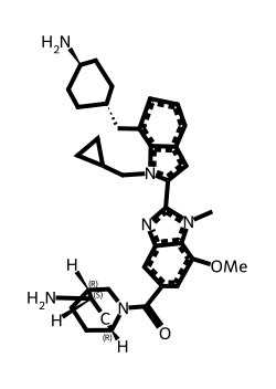 COc1cc(C(=O)N2C[C@H]3CC[C@@H]2C[C@@H]3N)cc2nc(-c3cc4cccc(C[C@H]5CC[C@H](N)CC5)c4n3CC3CC3)n(C)c12